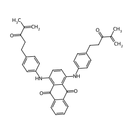 C=C(C)C(=O)CCc1ccc(Nc2ccc(Nc3ccc(CCC(=O)C(=C)C)cc3)c3c2C(=O)c2ccccc2C3=O)cc1